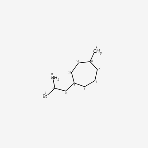 BC(CC)CC1CCCC(C)CC1